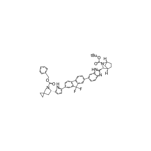 CC(C)(C)OC(=O)N1[C@@H]2CC[C@@H](C2)[C@H]1c1nc2ccc(-c3ccc4c(c3)C(F)(F)c3cc(-c5ccc([C@@H]6CC7(CC7)CN6C(=O)OCc6ccccc6)[nH]5)ccc3-4)cc2[nH]1